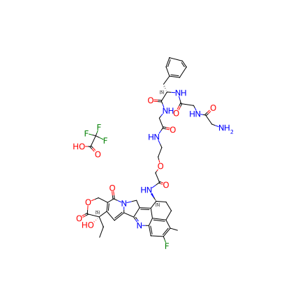 CC[C@@]1(O)C(=O)OCc2c1cc1n(c2=O)Cc2c-1nc1cc(F)c(C)c3c1c2[C@@H](NC(=O)COCCNC(=O)CNC(=O)[C@H](Cc1ccccc1)NC(=O)CNC(=O)CN)CC3.O=C(O)C(F)(F)F